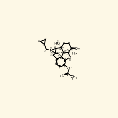 CC(=O)Oc1ccc2c3c1O[C@@H]1C(=O)CC[C@]4(O)C5[N@](CC6CC6)C5(C2)C[C@@]314